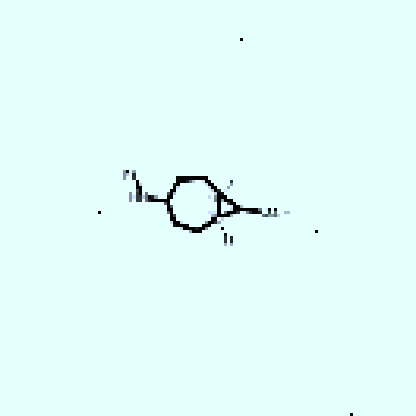 CCNC1CC[C@@H]2C(C(=O)O)[C@@H]2CC1